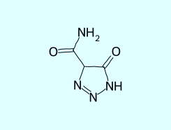 NC(=O)C1N=NNC1=O